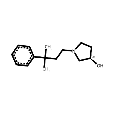 CC(C)(CCN1CC[C@@H](O)C1)c1ccccc1